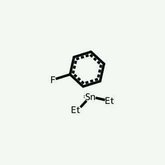 C[CH2][Sn][CH2]C.Fc1ccccc1